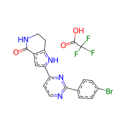 O=C(O)C(F)(F)F.O=C1NCCc2[nH]c(-c3ccnc(-c4ccc(Br)cc4)n3)cc21